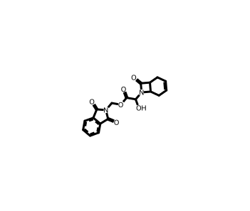 O=C(OCN1C(=O)c2ccccc2C1=O)C(O)N1C(=O)C2CC=CCC21